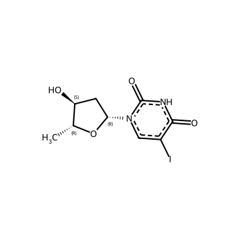 C[C@H]1O[C@@H](n2cc(I)c(=O)[nH]c2=O)C[C@@H]1O